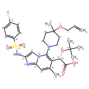 C=CCOC1(C)CCN(c2c([C@H](OC(C)(C)C)C(=O)O)c(C)cc3nc(NS(=O)(=O)c4ccc(F)cc4)cn23)CC1